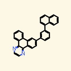 c1cc(-c2ccc3c(c2)c2ccccc2c2nccnc32)cc(-c2cccc3ccccc23)c1